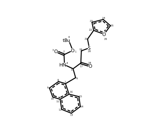 CC(C)(C)OC(=O)NC(Cc1cccc2ccccc12)C(=O)CSCc1ccco1